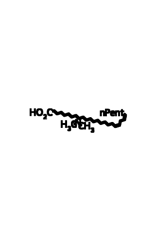 CCCCC/C=C\C/C=C\CCCCCCCCCC(CCCCCCCC(=O)O)N(C)C